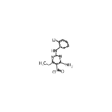 CCc1nc(Nc2ccccc2Cl)nc(N)c1[N+](=O)[O-]